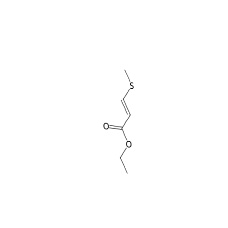 CCOC(=O)C=CSC